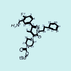 Cc1c(-c2ccc(F)c(CN)c2)nn(CCc2ccccc2)c(=O)c1N1CCN(C(=O)OC(C)(C)C)CC1